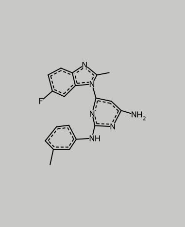 Cc1cccc(Nc2nc(N)cc(-n3c(C)nc4ccc(F)cc43)n2)c1